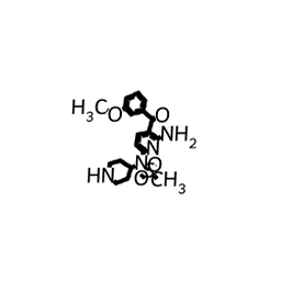 COc1cccc(C(=O)c2ccc(N(C3CCNCC3)S(C)(=O)=O)nc2N)c1